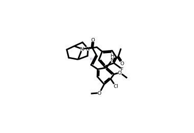 COc1cc(/C=C/C(=O)N2C3CCC2CN(Cc2ccc(F)cc2)C3)c(NC(C)=O)c(OC)c1Cl